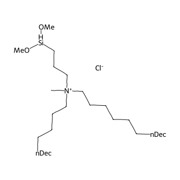 CCCCCCCCCCCCCCCC[N+](C)(CCCCCCCCCCCCCC)CCC[SiH](OC)OC.[Cl-]